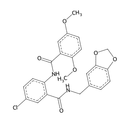 COc1ccc(OC)c(C(=O)Nc2ccc(Cl)cc2C(=O)NCc2ccc3c(c2)OCO3)c1